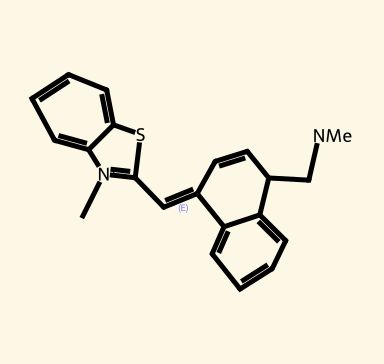 CNCC1C=C/C(=C\c2sc3ccccc3[n+]2C)c2ccccc21